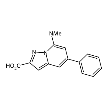 CNc1cc(-c2ccccc2)cc2cc(C(=O)O)nn12